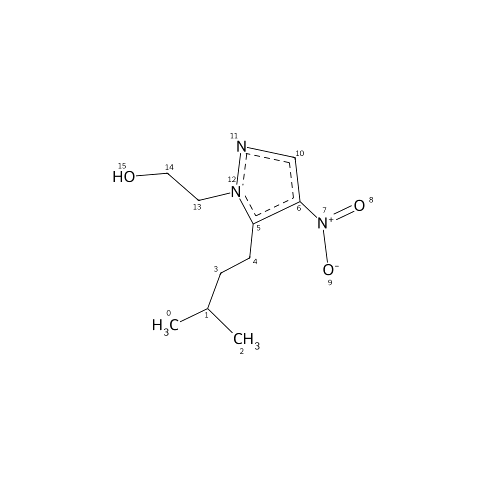 CC(C)CCc1c([N+](=O)[O-])cnn1CCO